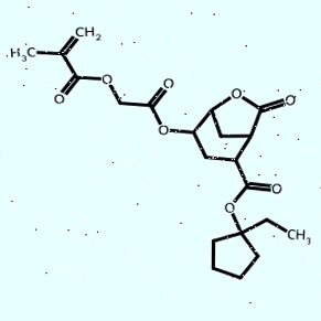 C=C(C)C(=O)OCC(=O)OC1CC(C(=O)OC2(CC)CCCC2)C2CC1OC2=O